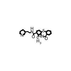 Cc1c(C(=O)NCCc2cccnc2)ccc2c1NC(=O)c1ccccc1S2